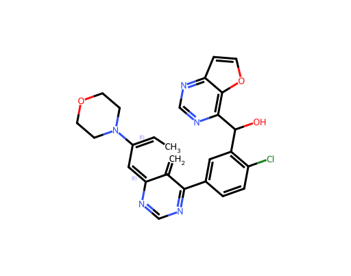 C=c1c(-c2ccc(Cl)c(C(O)c3ncnc4ccoc34)c2)ncn/c1=C/C(=C\C)N1CCOCC1